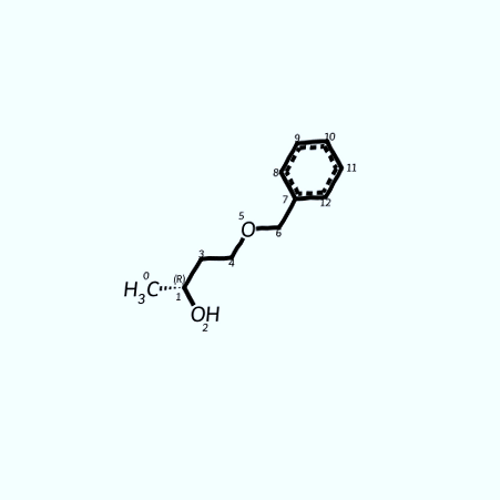 C[C@@H](O)CCOCc1ccccc1